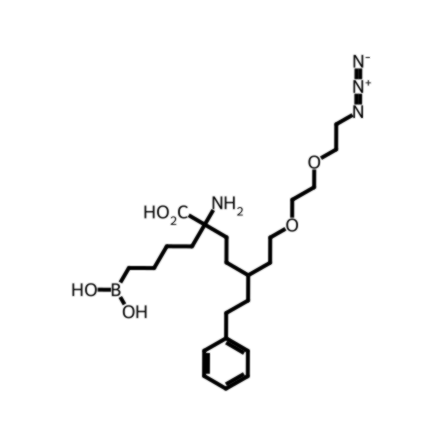 [N-]=[N+]=NCCOCCOCCC(CCc1ccccc1)CCC(N)(CCCCB(O)O)C(=O)O